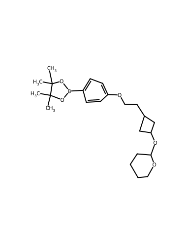 CC1(C)OB(c2ccc(OCCC3CC(OC4CCCCO4)C3)cc2)OC1(C)C